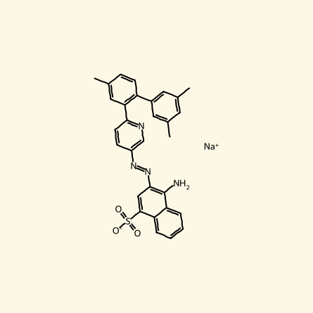 Cc1cc(C)cc(-c2ccc(C)cc2-c2ccc(N=Nc3cc(S(=O)(=O)[O-])c4ccccc4c3N)cn2)c1.[Na+]